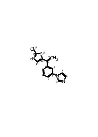 C=C(c1cccc(-n2ccnc2)c1)c1cnc(Cl)s1